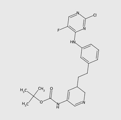 CC(C)(C)OC(=O)NC1=CC(CCc2cccc(Nc3nc(Cl)ncc3F)c2)CN=C1